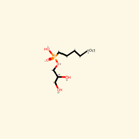 CCCCCCCCCCCCP(=O)(O)OCC(O)CO